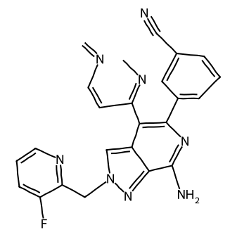 C=N/C=C\C(=N/C)c1c(-c2cccc(C#N)c2)nc(N)c2nn(Cc3ncccc3F)cc12